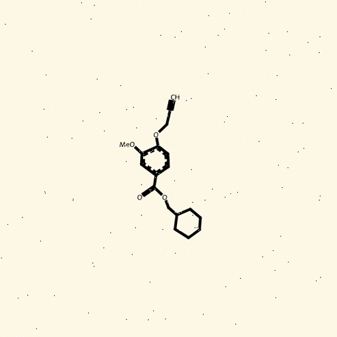 C#CCOc1ccc(C(=O)OCC2CCCCC2)cc1OC